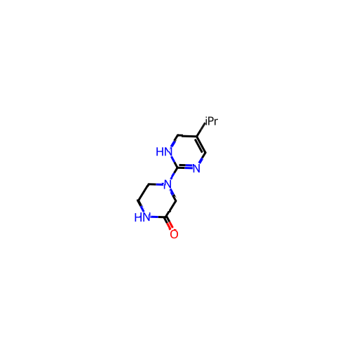 CC(C)C1=CN=C(N2CCNC(=O)C2)NC1